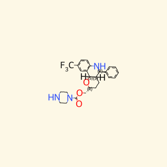 O=C(OC[C@H]1CC[C@@H]2[C@H](O1)c1cc(C(F)(F)F)ccc1N[C@H]2c1ccccc1)N1CCNCC1